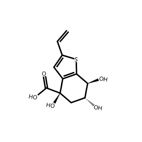 C=Cc1cc2c(s1)[C@@H](O)[C@H](O)C[C@]2(O)C(=O)O